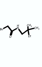 CCC(C)(C)CNC(=O)CC(C)(C)C